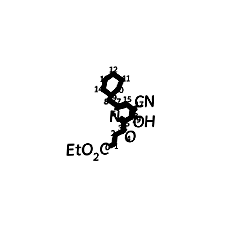 CCOC(=O)CCC(=O)c1nc(CC2CCCCC2)cc(C#N)c1O